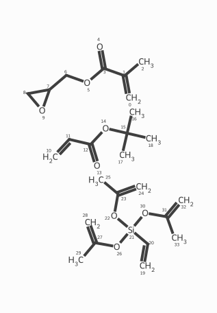 C=C(C)C(=O)OCC1CO1.C=CC(=O)OC(C)(C)C.C=C[Si](OC(=C)C)(OC(=C)C)OC(=C)C